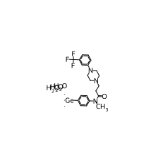 CN(C(=O)CCN1CCN(c2cccc(C(F)(F)F)c2)CC1)c1cc[c]([Ge])cc1.O.O.O